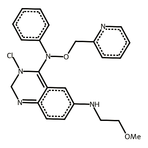 COCCNc1ccc2c(c1)=C(N(OCc1ccccn1)c1ccccc1)N(Cl)CN=2